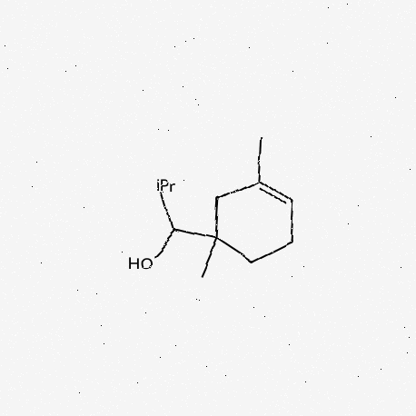 CC1=CCCC(C)(C(O)C(C)C)C1